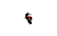 COc1cc(F)c(O[C@H]2CC[C@](C)(C(=O)O)CC2)cc1C(=O)N[C@@H]1[C@H]2CC[C@H](C2)[C@@H]1C(=O)Nc1cccc(S(=O)(=O)C(F)(F)F)c1